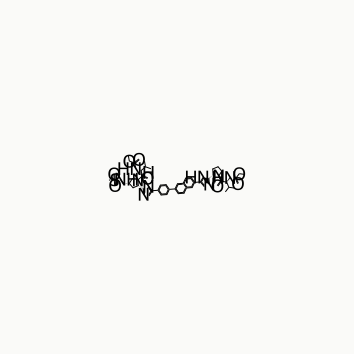 COC(=O)N[C@H](C(=O)N1CCC[C@H]1c1ncc(-c2ccc3cc(-c4ccc(-c5cnc([C@@H]6C[C@H](CNS(C)(=O)=O)CN6C(=O)[C@@H](NC(=O)OC)C(C)C)[nH]5)cc4)ccc3c2)[nH]1)C(C)C